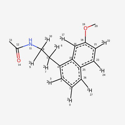 [2H]c1c([2H])c(C([2H])([2H])C([2H])([2H])NC(C)=O)c2c([2H])c(OC)c([2H])c([2H])c2c1[2H]